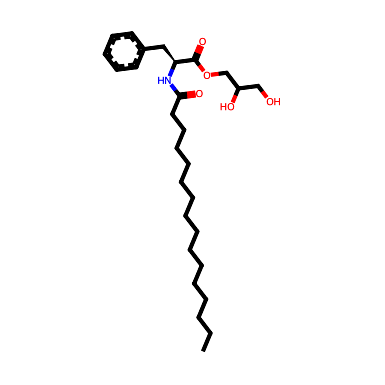 CCCCCCCCCCCCCCCC(=O)N[C@@H](Cc1ccccc1)C(=O)OCC(O)CO